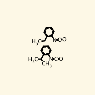 CC(C)c1ccccc1N=C=O.CCc1ccccc1N=C=O